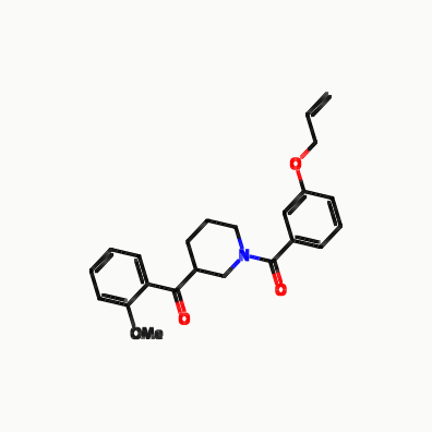 C=CCOc1cccc(C(=O)N2CCCC(C(=O)c3ccccc3OC)C2)c1